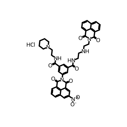 Cl.O=C(NCCNCCN1C(=O)c2cccc3cccc(c23)C1=O)c1cc(C(=O)NCCN2CCCCC2)cc(N2C(=O)c3cccc4cc([N+](=O)[O-])cc(c34)C2=O)c1